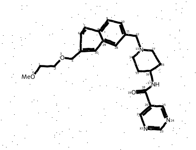 COCCOCc1ccc2ccc(CN3CCC(NC(=O)c4cncnc4)CC3)cc2c1